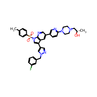 Cc1ccc(S(=O)(=O)n2cc(-c3cnn(Cc4cccc(F)c4)c3)c3cc(-c4ccc(N5CCN(C[C@H](C)O)CC5)nc4)cnc32)cc1